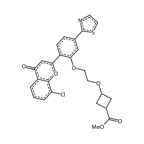 COC(=O)C1CC(OCCOc2cc(-c3nccs3)ccc2-c2cc(=O)c3cccc(Cl)c3o2)C1